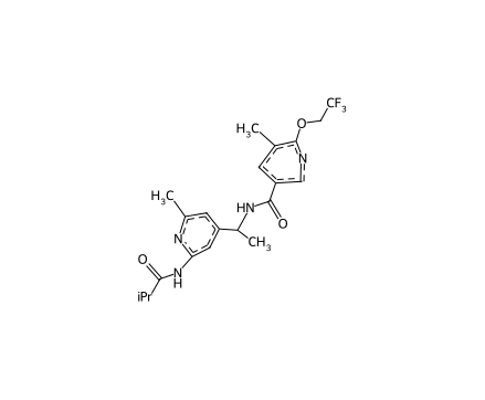 Cc1cc(C(C)NC(=O)c2cnc(OCC(F)(F)F)c(C)c2)cc(NC(=O)C(C)C)n1